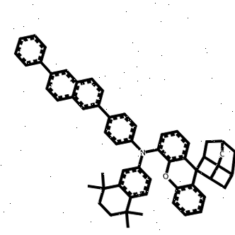 CC1(C)CCC(C)(C)c2cc(N(c3ccc(-c4ccc5cc(-c6ccccc6)ccc5c4)cc3)c3cccc4c3Oc3ccccc3C43C4CC5CC6CC3C64C5)ccc21